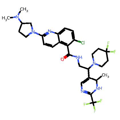 CC1NC(C(F)(F)F)=NC=C1C(CNC(=O)c1c(Cl)ccc2nc(N3CCC(N(C)C)C3)ccc12)N1CCC(F)(F)CC1